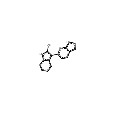 Oc1[nH]c2ccccc2c1-c1ccc2cc[nH]c2n1